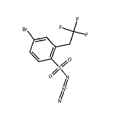 [N-]=[N+]=NS(=O)(=O)c1ccc(Br)cc1CC(F)(F)F